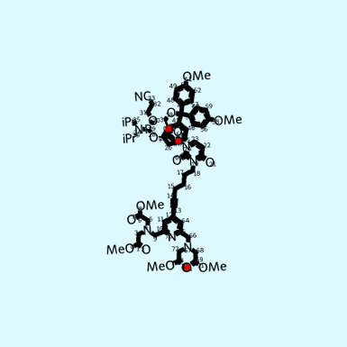 COC(=O)CN(CC(=O)OC)Cc1cc(C#CCCCCn2c(=O)ccn([C@H]3C[C@H](OP(OCCC#N)N(C(C)C)C(C)C)[C@@H](COC(c4ccccc4)(c4ccc(OC)cc4)c4ccc(OC)cc4)O3)c2=O)cc(CN(CC(=O)OC)CC(=O)OC)n1